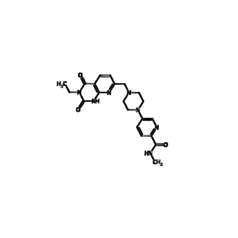 CCn1c(=O)[nH]c2nc(CN3CCN(c4ccc(C(=O)NC)nc4)CC3)ccc2c1=O